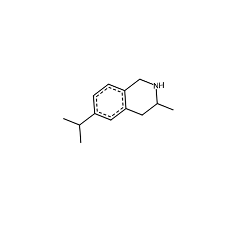 CC1Cc2cc(C(C)C)ccc2CN1